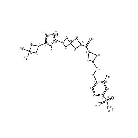 O=C(N1CC(OCc2ccc(S(=O)(=O)C(F)(F)F)cc2F)C1)N1CC2(CC(c3nc(C4CC(F)(F)C4)n[nH]3)C2)C1